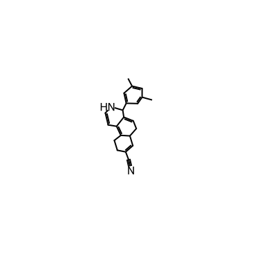 Cc1cc(C)cc(C2NC=CC3=C4CCC(C#N)=CC4CC=C32)c1